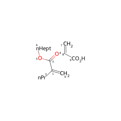 C=C(CCC)C(=O)OCCCCCCC.C=CC(=O)O